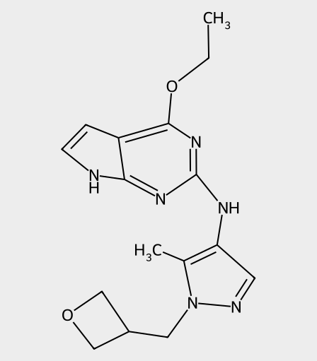 CCOc1nc(Nc2cnn(CC3COC3)c2C)nc2[nH]ccc12